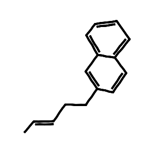 CC=CCCc1ccc2ccccc2c1